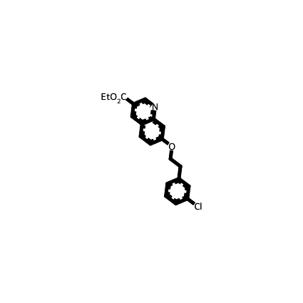 CCOC(=O)c1cnc2cc(OCCc3cccc(Cl)c3)ccc2c1